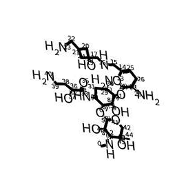 CN[C@@H]1[C@@H](O)[C@@H](O[C@@H]2[C@@H](O)[C@H](O[C@H]3OC(CNCC4(O)CC(CN)C4)=CC[C@H]3N)[C@@H](N)C[C@H]2NC(=O)[C@@H](O)CCN)OC[C@]1(C)O